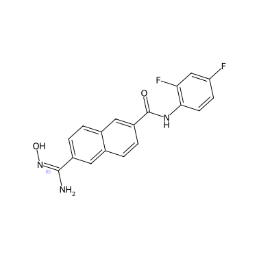 N/C(=N/O)c1ccc2cc(C(=O)Nc3ccc(F)cc3F)ccc2c1